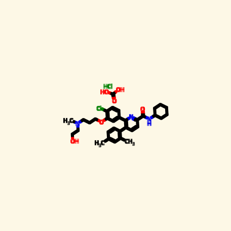 Cc1ccc(-c2ccc(C(=O)NC3CCCCC3)nc2-c2ccc(Cl)c(OCCCN(C)CCO)c2)c(C)c1.Cl.O=C(O)O